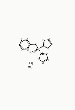 Br.Br.[SiH2]=[Zr]([CH2]c1ccccc1)([C]1=CC=CC1)[C]1=CC=CC1